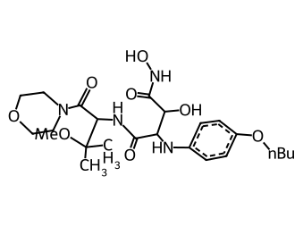 CCCCOc1ccc(NC(C(=O)NC(C(=O)N2CCOCC2)C(C)(C)OC)C(O)C(=O)NO)cc1